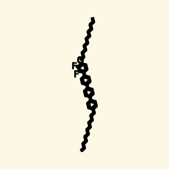 CCCCCCCCCCCCOc1ccc(-c2ccc(-c3ccc(-c4ccc(CCCCCCCCCCCC)cc4)cc3)cc2)c(F)c1F